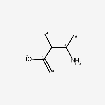 C=C(O)C(C)C(C)N